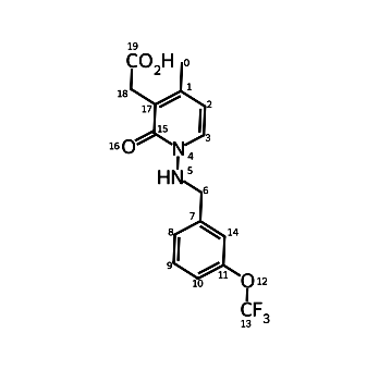 Cc1ccn(NCc2cccc(OC(F)(F)F)c2)c(=O)c1CC(=O)O